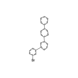 Brc1cccc(-c2cccc(-c3ccc(-c4ccccc4)cc3)c2)c1